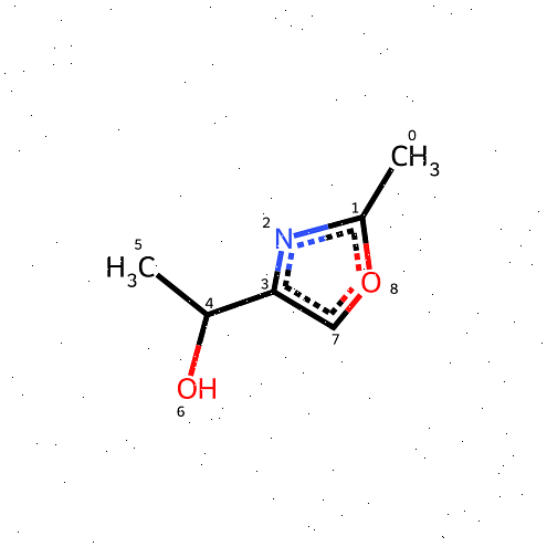 Cc1nc(C(C)O)co1